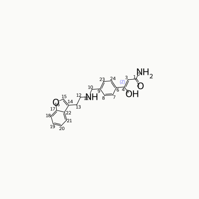 NC(=O)/C=C(\O)c1ccc(CNCCc2coc3ccccc23)cc1